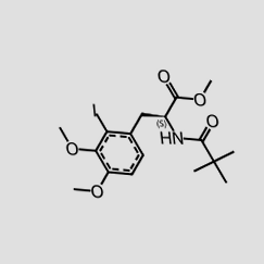 COC(=O)[C@H](Cc1ccc(OC)c(OC)c1I)NC(=O)C(C)(C)C